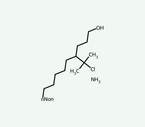 CCCCCCCCCCCCCCC(CCCO)C(C)(C)Cl.N